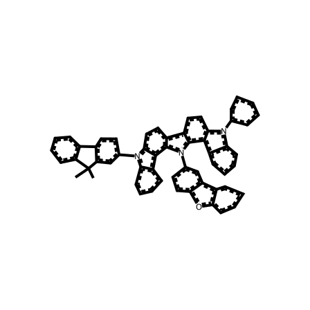 CC1(C)c2ccccc2-c2ccc(-n3c4ccccc4c4c3ccc3c5ccc6c(c7ccccc7n6-c6ccccc6)c5n(-c5ccc6oc7ccccc7c6c5)c34)cc21